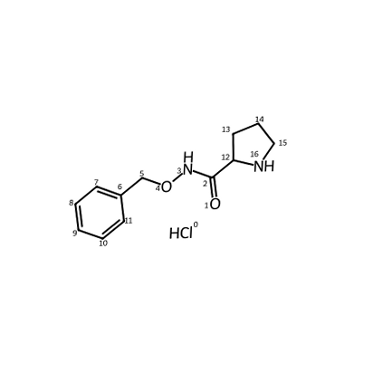 Cl.O=C(NOCc1ccccc1)C1CCCN1